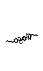 CCCCCC1CCC(OC(=O)c2ccc(-c3ncc(CCCC)cn3)cc2)CC1